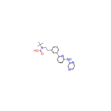 CC(C)(C)N(CCc1cccc(-c2cccc(Nc3cnccn3)n2)c1)C(=O)O